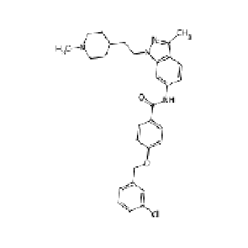 Cc1nn(CCC2CCN(C)CC2)c2cc(NC(=O)c3ccc(OCc4cccc(Cl)c4)cc3)ccc12